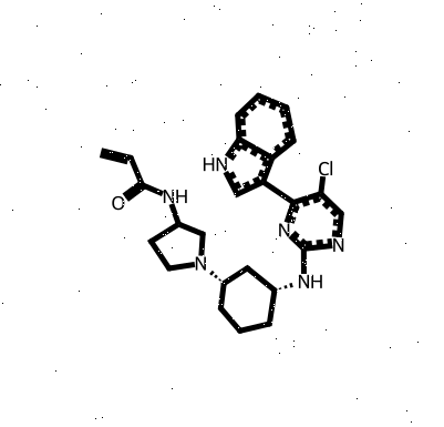 C=CC(=O)NC1CCN([C@H]2CCC[C@@H](Nc3ncc(Cl)c(-c4c[nH]c5ccccc45)n3)C2)C1